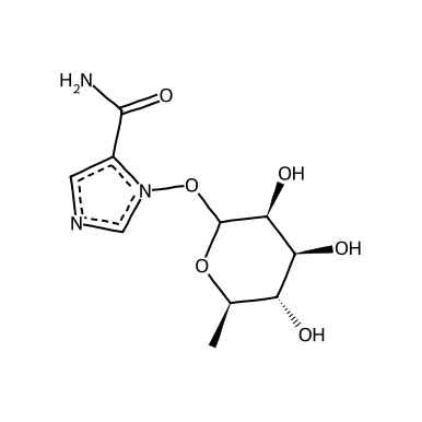 C[C@H]1OC(On2cncc2C(N)=O)[C@@H](O)[C@@H](O)[C@@H]1O